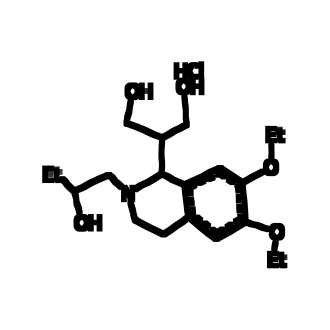 CCOc1cc2c(cc1OCC)C(C(CO)CO)N(CC(O)CC)CC2.Cl